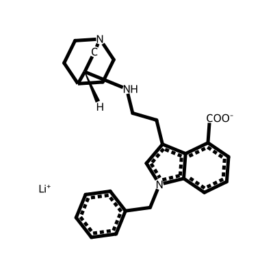 O=C([O-])c1cccc2c1c(CCN[C@H]1CN3CCC1CC3)cn2Cc1ccccc1.[Li+]